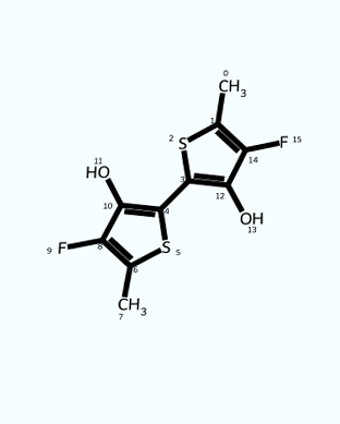 Cc1sc(-c2sc(C)c(F)c2O)c(O)c1F